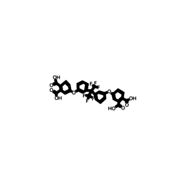 O=C(O)c1ccc(Oc2cccc(C(c3cccc(Oc4ccc(C(=O)O)c(C(=O)O)c4)c3)(C(F)(F)F)C(F)(F)F)c2)cc1C(=O)O